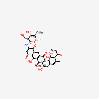 CNC(=O)c1c(C)cc2c(c1O)[C@]1(O)C(=O)c3cc4c(c(O)c3C(=O)[C@]1(OC)[C@H](O)C2)C(=O)C=C(N[C@H]1O[C@@H](C)[C@H](OC)[C@@H](O)[C@H]1CO)C4=O